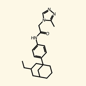 CCC1CC2CCCC(c3ccc(NC(=O)Cn4cnnc4C)cc3)(C1)C2